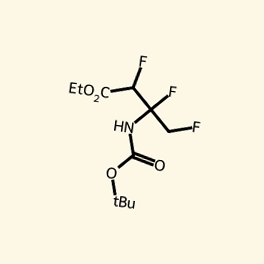 CCOC(=O)C(F)C(F)(CF)NC(=O)OC(C)(C)C